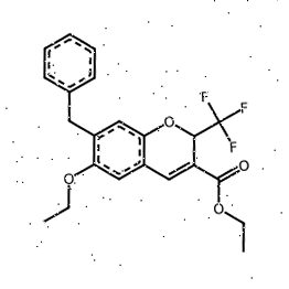 CCOC(=O)C1=Cc2cc(OCC)c(Cc3ccccc3)cc2OC1C(F)(F)F